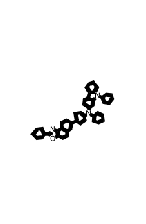 c1ccc(-c2nc3c(ccc4cc(-c5ccc(N(c6ccccc6)c6ccc7c8ccccc8n(-c8ccccc8)c7c6)cc5)ccc43)o2)cc1